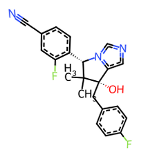 CC1(C)[C@H](c2ccc(C#N)cc2F)n2cncc2[C@@]1(O)Cc1ccc(F)cc1